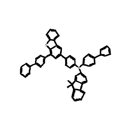 CC1(C)c2ccccc2-c2ccc(N(c3ccc(-c4ccccc4)cc3)c3ccc(-c4cc(-c5ccc(-c6ccccc6)cc5)c5sc6ccccc6c5c4)cc3)cc21